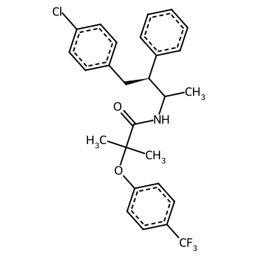 CC(NC(=O)C(C)(C)Oc1ccc(C(F)(F)F)cc1)[C@@H](Cc1ccc(Cl)cc1)c1ccccc1